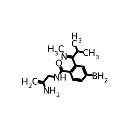 Bc1ccc(C(=O)NCC(=C)N)c(/C(=N/C)C(C)C)c1